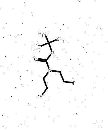 CC(C)(C)OC(=O)N(CCF)CCF